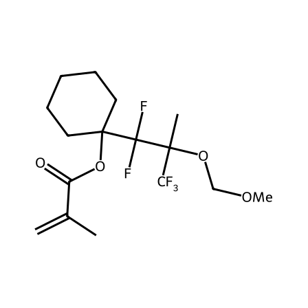 C=C(C)C(=O)OC1(C(F)(F)C(C)(OCOC)C(F)(F)F)CCCCC1